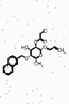 C=CCO[C@@H]1O[C@@H](C)[C@H](OCc2ccc3ccccc3c2)[C@@H](O)[C@H]1OC(=O)CCl